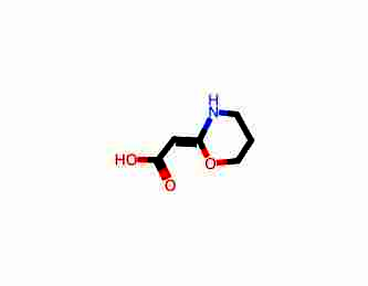 O=C(O)/C=C1/NCCCO1